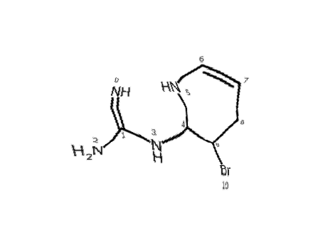 N=C(N)NC1NC=CCC1Br